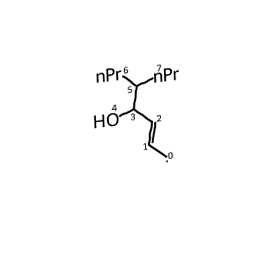 [CH2]/C=C/C(O)C(CCC)CCC